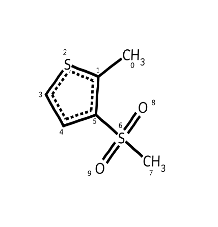 Cc1sccc1S(C)(=O)=O